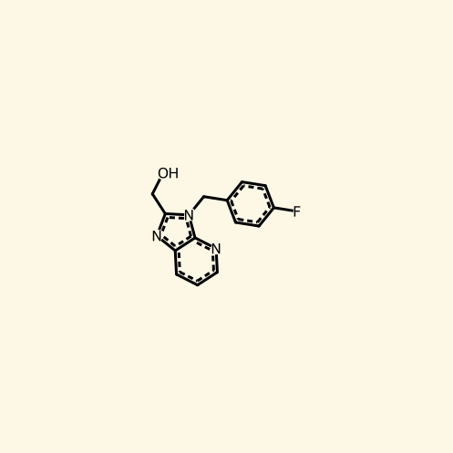 OCc1nc2cccnc2n1Cc1ccc(F)cc1